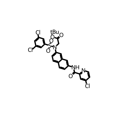 CC(C)(C)OC(=O)CN(c1ccc2ccc(NC(=O)c3cc(Cl)ccn3)cc2c1)S(=O)(=O)c1cc(Cl)cc(Cl)c1